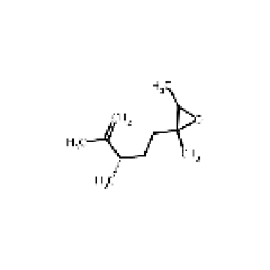 C=C(C)[C@@H](C)CCC1(C)OC1C